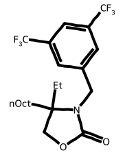 CCCCCCCCC1(CC)COC(=O)N1Cc1cc(C(F)(F)F)cc(C(F)(F)F)c1